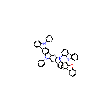 c1ccc(-n2c3ccccc3c3cc4c(cc32)c2cc3c(cc2n4-c2ccccc2)c2ccccc2n3-c2cccc3c4ccccc4n(-c4cccc5c4oc4ccccc45)c23)cc1